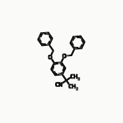 [C-]#[N+]C(C)(C)c1ccc(OCc2ccccc2)c(OCc2ccccc2)c1